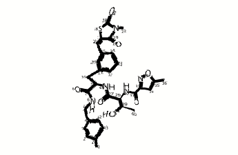 Cc1ccc(CNC(=O)C(Cc2cccc(C=C3SC(=O)N(C)C3=O)c2)NC(=O)[C@@H](NC(=O)c2cc(C)on2)[C@@H](C)O)cc1